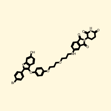 O=C1CCC(N2C(=O)c3ccc(NCCCOCCCOc4ccc(Oc5c(-c6ccc(Br)cc6)sc6cc(O)ccc56)cc4)cc3C2=O)C(=O)N1